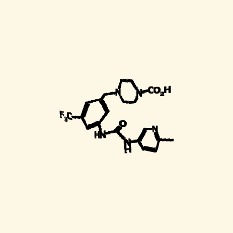 Cc1ccc(NC(=O)Nc2cc(CN3CCN(C(=O)O)CC3)cc(C(F)(F)F)c2)cn1